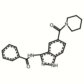 O=C(Nc1n[nH]c2ccc(C(=O)N3CCCCC3)cc12)c1ccccc1